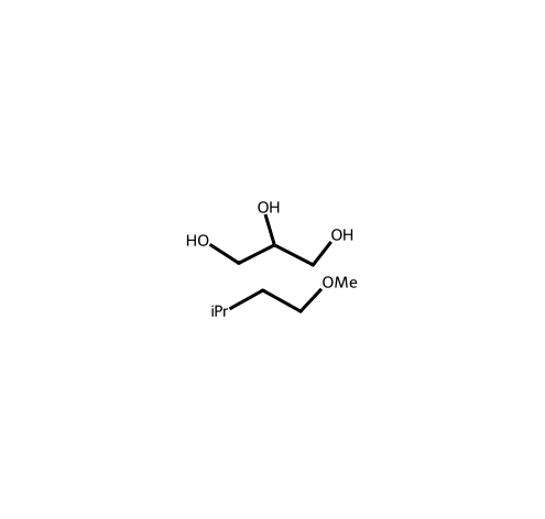 COCCC(C)C.OCC(O)CO